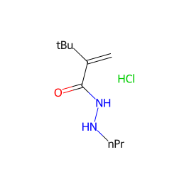 C=C(C(=O)NNCCC)C(C)(C)C.Cl